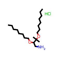 CCCCCCCCOC(CN)C(C)(C)OCCCCCCCC.Cl